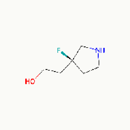 OCC[C@@]1(F)CCNC1